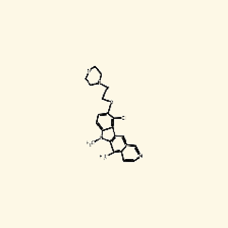 Cc1c2ccncc2cc2c3c(Cl)c(OCCN4CCOCC4)ccc3n(C)c12